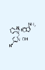 Cl.N#Cc1ccc(Cn2c(N3C=C4C(N)=CC=C4C3)nc3ccccc32)nc1